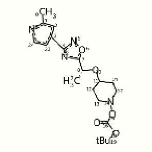 Cc1cc(-c2noc([C@@H](C)OC3CCN(OC(=O)OC(C)(C)C)CC3)n2)ccn1